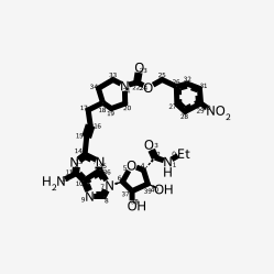 CCNC(=O)[C@H]1O[C@@H](n2cnc3c(N)nc(C#CCC4CCN(C(=O)OCc5ccc([N+](=O)[O-])cc5)CC4)nc32)C(O)[C@H]1O